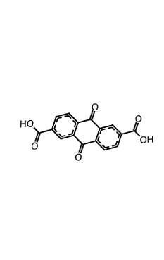 O=C(O)c1ccc2c(c1)C(=O)c1ccc(C(=O)O)cc1C2=O